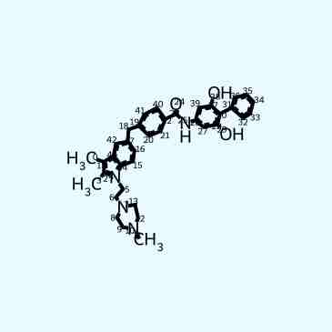 Cc1c(C)n(CCN2CCN(C)CC2)c2ccc(Cc3ccc(C(=O)Nc4cc(O)c(-c5ccccc5)c(O)c4)cc3)cc12